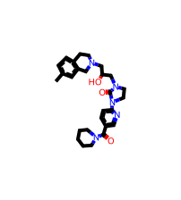 Cc1ccc2c(c1)CN(CC(O)CN1CCN(c3ccc(C(=O)N4CCCCC4)cn3)C1=O)CC2